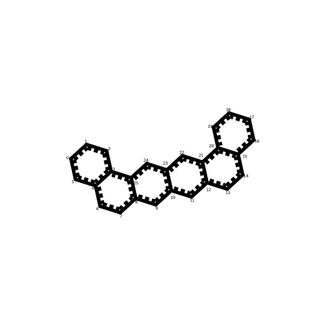 c1ccc2c(c1)ccc1cc3cc4ccc5ccccc5c4cc3cc12